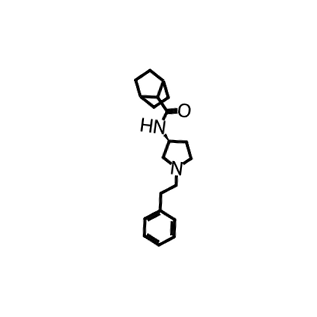 O=C(N[C@H]1CCN(CCc2ccccc2)C1)C1C2CCC1CC2